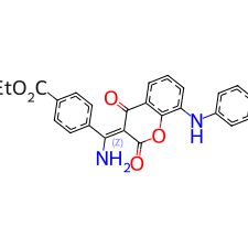 CCOC(=O)c1ccc(/C(N)=C2/C(=O)Oc3c(Nc4ccccc4)cccc3C2=O)cc1